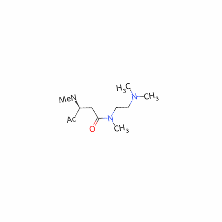 CN[C@@H](CC(=O)N(C)CCN(C)C)C(C)=O